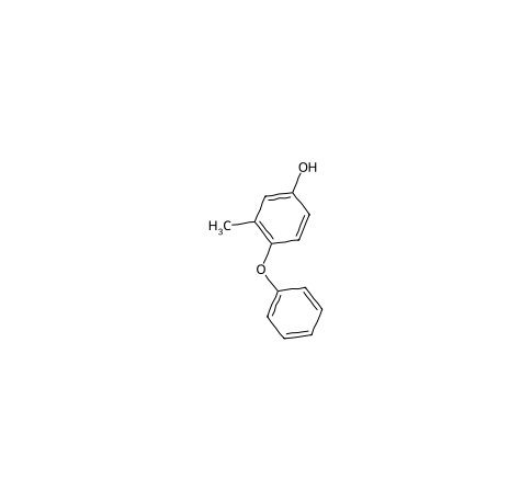 Cc1cc(O)ccc1Oc1ccccc1